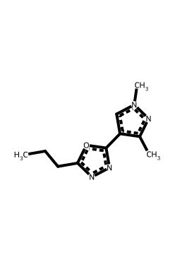 CCCc1nnc(-c2cn(C)nc2C)o1